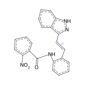 O=C(Nc1ccccc1/C=C/c1n[nH]c2ccccc12)c1ccccc1[N+](=O)[O-]